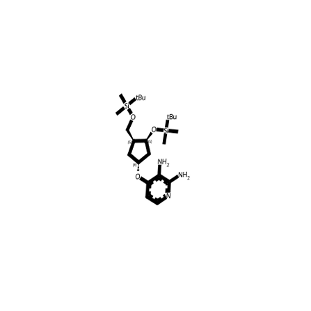 CC(C)(C)[Si](C)(C)OC[C@@H]1C[C@@H](Oc2ccnc(N)c2N)C[C@@H]1O[Si](C)(C)C(C)(C)C